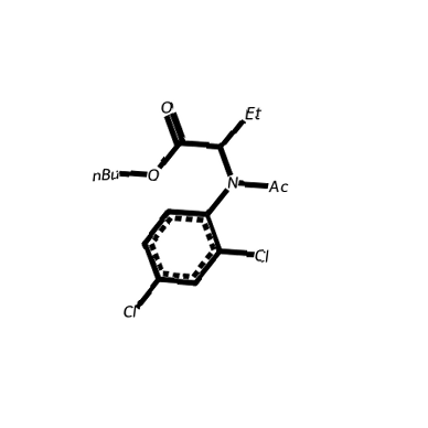 CCCCOC(=O)C(CC)N(C(C)=O)c1ccc(Cl)cc1Cl